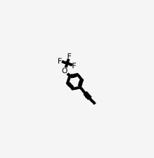 CC#Cc1ccc(OC(F)(F)F)cc1